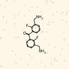 NCc1cccc(C(=O)c2cccc(CN)c2F)c1F